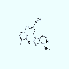 C#CCCCn1c(Sc2cc(OC)ccc2I)nc2c(N)nccc21